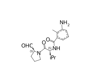 Cc1c(N)cccc1C(=O)N[C@H](C(=O)N1CCC[C@H]1C=O)C(C)C